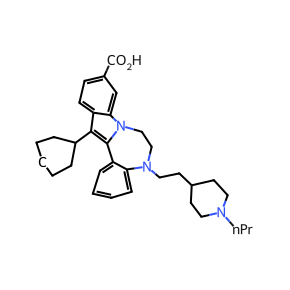 CCCN1CCC(CCN2CCn3c(c(C4CCCCC4)c4ccc(C(=O)O)cc43)-c3ccccc32)CC1